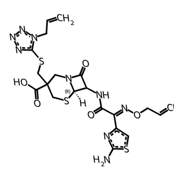 C=CCON=C(C(=O)NC1C(=O)N2CC(CSc3nnnn3CC=C)(C(=O)O)CS[C@H]12)c1csc(N)n1